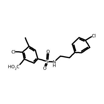 Cc1cc(S(=O)(=O)NCCc2ccc(Cl)cc2)cc(C(=O)O)c1Cl